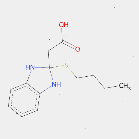 CCCCSC1(CC(=O)O)Nc2ccccc2N1